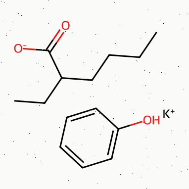 CCCCC(CC)C(=O)[O-].Oc1ccccc1.[K+]